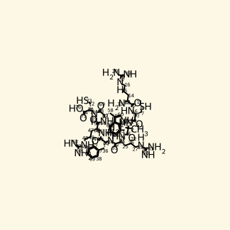 CC(C)(NC(=O)[C@H](CS)NC(=O)[C@@H](N)CCCNC(=N)N)C(=O)N[C@@H](CCCNC(=N)N)C(=O)N[C@H](Cc1ccccc1)C(=O)N[C@@H](CCCNC(=N)N)C(=O)N[C@@H](Cc1c[nH]c2ccccc12)C(=O)N[C@@H](CS)C(=O)O